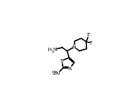 CC(C)(C)c1ncc(C(CN)N2CCC(F)(F)CC2)s1